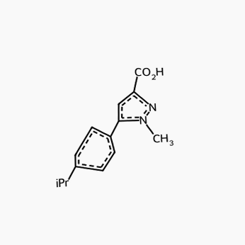 CC(C)c1ccc(-c2cc(C(=O)O)nn2C)cc1